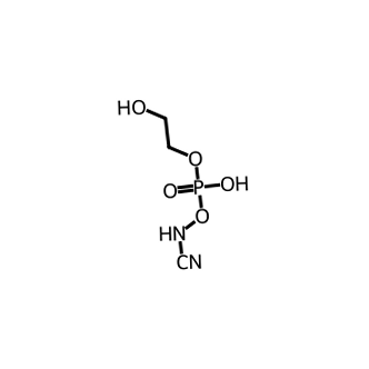 N#CNOP(=O)(O)OCCO